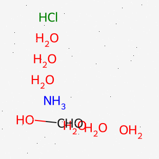 Cl.N.O.O.O.O.O.O.O=CO